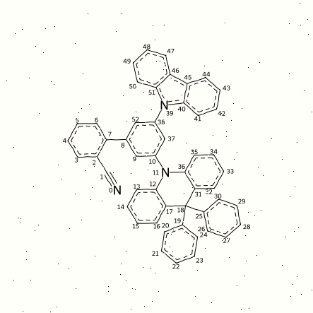 N#Cc1ccccc1-c1cc(N2c3ccccc3C(c3ccccc3)(c3ccccc3)c3ccccc32)cc(-n2c3ccccc3c3ccccc32)c1